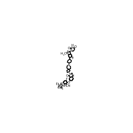 CCN(C)S(=O)(=O)Nc1ccc(F)c(Oc2ccc3ncn([C@@H]4CCC5(CCN(C6CCC(c7cc8c(cc7F)c(N7CCC(=O)NC7=O)nn8C)CC6)CC5)C4)c(=O)c3c2)c1C#N